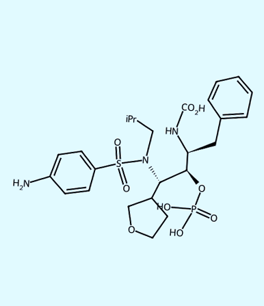 CC(C)CN([C@@H](C1CCOC1)[C@H](OP(=O)(O)O)[C@H](Cc1ccccc1)NC(=O)O)S(=O)(=O)c1ccc(N)cc1